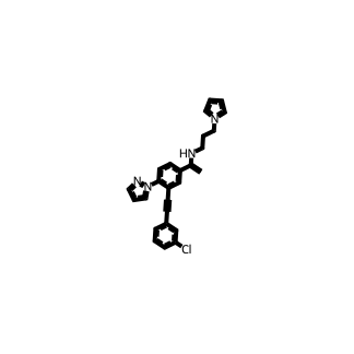 C=C(NCCCn1cccc1)c1ccc(-n2cccn2)c(C#Cc2cccc(Cl)c2)c1